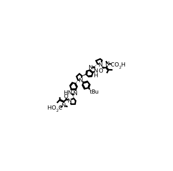 CC(C)=C(C(=O)N1CCC[C@H]1c1nc2cc([C@@H]3CC[C@@H](c4ccc5[nH]c([C@@H]6CCCN6C(=O)C(=C(C)C)N(C)C(=O)O)nc5c4)N3c3ccc(C(C)(C)C)cc3)ccc2[nH]1)N(C)C(=O)O